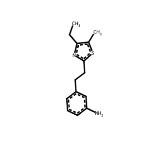 CCc1nc(CCc2cccc(N)c2)sc1C